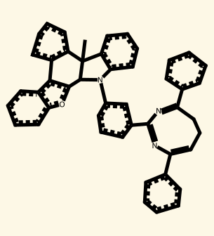 CC12c3ccccc3-c3c(oc4ccccc34)C1N(c1cccc(C3=N/C(c4ccccc4)=C\CC/C(c4ccccc4)=N\3)c1)c1ccccc12